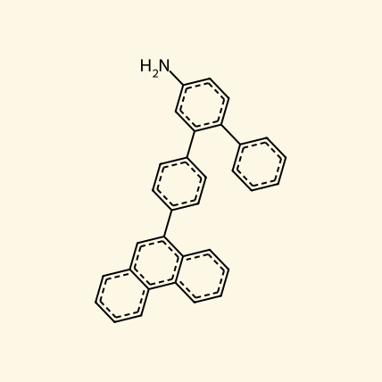 Nc1ccc(-c2ccccc2)c(-c2ccc(-c3cc4ccccc4c4ccccc34)cc2)c1